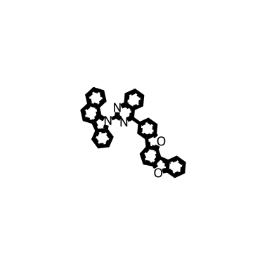 c1ccc2c(c1)ccc1c3ccccc3n(-c3nc(-c4ccc5oc6c(ccc7oc8ccccc8c76)c5c4)c4ccccc4n3)c21